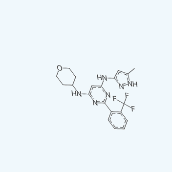 Cc1cc(Nc2cc(NC3CCOCC3)nc(-c3ccccc3C(F)(F)F)n2)n[nH]1